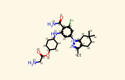 CCc1nn(-c2cc(F)c(C(N)=O)c(NC3CCC(OC(=O)CN)CC3)c2)c2c1CCC(C)(C)C2